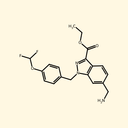 CCOC(=O)c1nn(Cc2ccc(OC(F)F)cc2)c2cc(CN)ccc12